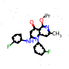 Cc1cc2c(c(OC(C)C)n1)c(=O)cc(Nc1cccc(F)c1)n2-c1cccc(F)c1